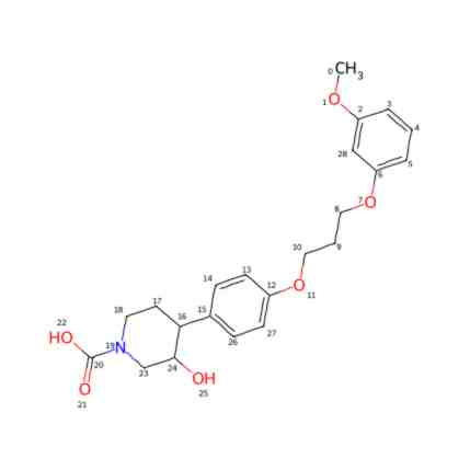 COc1cccc(OCCCOc2ccc(C3CCN(C(=O)O)CC3O)cc2)c1